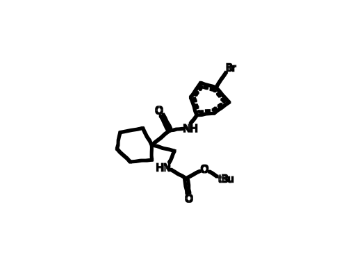 CC(C)(C)OC(=O)NCC1(C(=O)Nc2ccc(Br)cc2)CCCCC1